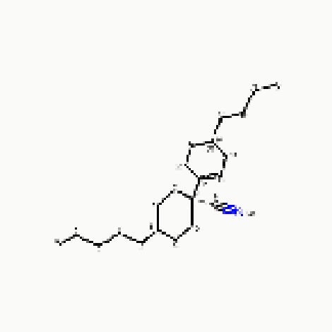 CCCCC[C@H]1CC[C@@](C#N)(C2=CC[C@H](CCCC)CC2)CC1